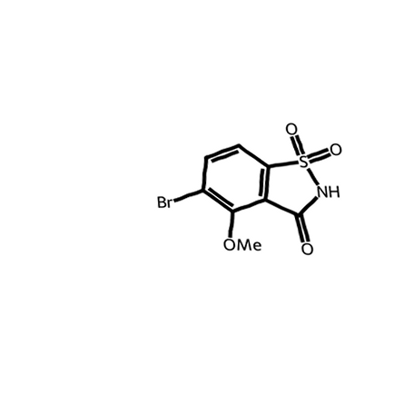 COc1c(Br)ccc2c1C(=O)NS2(=O)=O